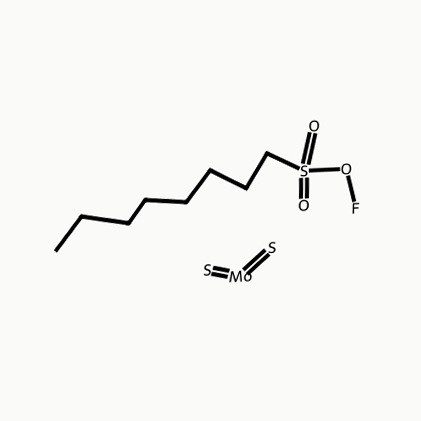 CCCCCCCCS(=O)(=O)OF.[S]=[Mo]=[S]